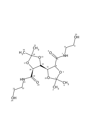 CC1(C)OC(C(=O)NCCO)[C@H](C2OC(C)(C)O[C@@H]2C(=O)NCCO)O1